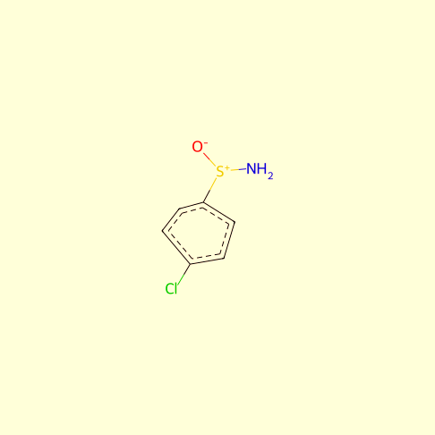 N[S+]([O-])c1ccc(Cl)cc1